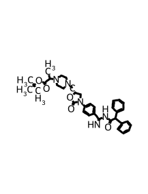 CC(C(=O)OC(C)(C)C)N1CCN(CC2CN(c3ccc(C(=N)NC(=O)C(c4ccccc4)c4ccccc4)cc3)C(=O)O2)CC1